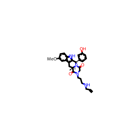 C#CCNCCCN1CC(=O)N2[C@H](c3cccc(O)c3)c3[nH]c4ccc(OC)cc4c3C[C@@]2(C)C1=O